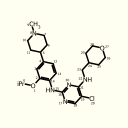 CC(C)Oc1cc(C2CCN(C)CC2)ccc1Nc1ncc(Cl)c(NCC2CCOCC2)n1